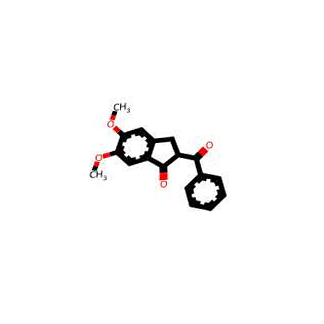 COc1cc2c(cc1OC)C(=O)C(C(=O)c1ccccc1)C2